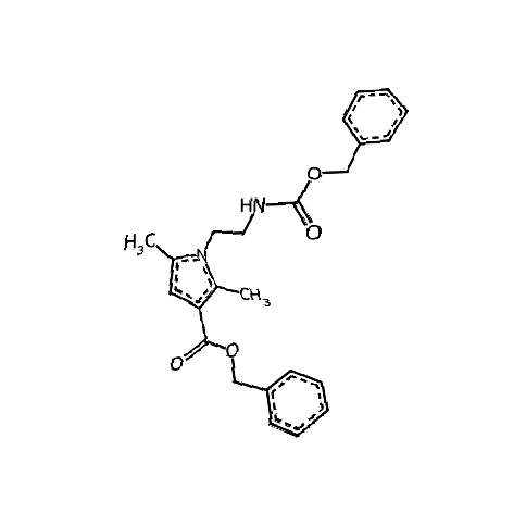 Cc1cc(C(=O)OCc2ccccc2)c(C)n1CCNC(=O)OCc1ccccc1